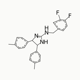 Cc1ccc(C2N=C(NCc3ccc(F)c(F)c3)NC2c2ccc(C)cc2)cc1